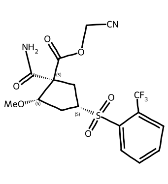 CO[C@H]1C[C@@H](S(=O)(=O)c2ccccc2C(F)(F)F)C[C@]1(C(N)=O)C(=O)OCC#N